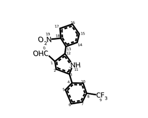 O=Cc1cc(-c2cccc(C(F)(F)F)c2)[nH]c1-c1ccccc1[N+](=O)[O-]